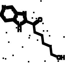 O=C(CCCCCO)c1nc2cnccc2[nH]1